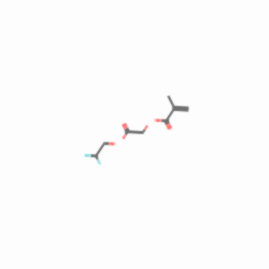 C=C(C)C(=O)OCC(=O)OCC(F)F